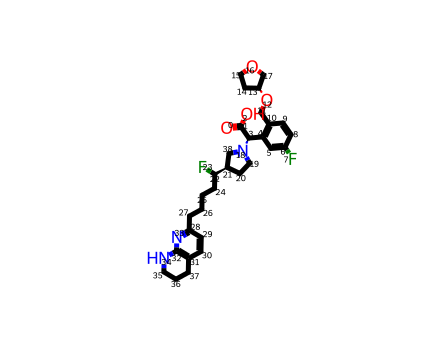 O=C(O)[C@H](c1cc(F)ccc1CO[C@@H]1CCOC1)N1CC[C@@H](C(F)CCCCc2ccc3c(n2)NCCC3)C1